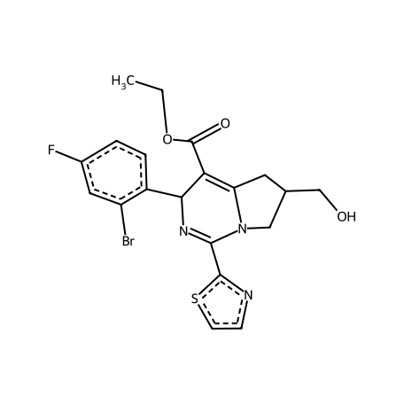 CCOC(=O)C1=C2CC(CO)CN2C(c2nccs2)=NC1c1ccc(F)cc1Br